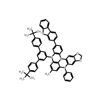 Cc1cc2c3c(c1)N(c1ccccc1)c1cc4c(cc1B3c1ccc(-c3ccc5c(c3)sc3ccccc35)cc1N2c1cc(-c2ccc(C(C)(C)C)cc2)cc(-c2ccc(C(C)(C)C)cc2)c1)OCO4